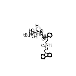 C[C@H](NC(=O)C(=O)NC(C)(C)C)C(=O)NNC(=O)N(CCNC(=O)OCC1c2ccccc2-c2ccccc21)c1ccccc1